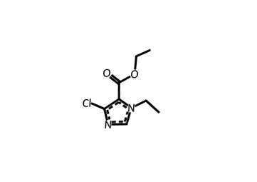 CCOC(=O)c1c(Cl)ncn1CC